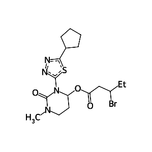 CCC(Br)CC(=O)OC1CCN(C)C(=O)N1c1nnc(C2CCCC2)s1